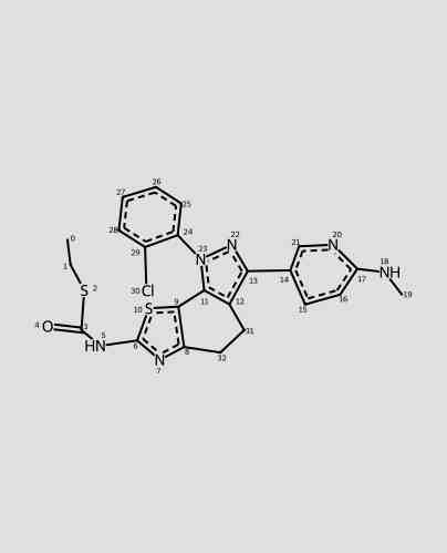 CCSC(=O)Nc1nc2c(s1)-c1c(c(-c3ccc(NC)nc3)nn1-c1ccccc1Cl)CC2